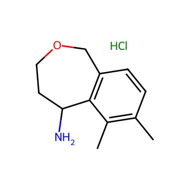 Cc1ccc2c(c1C)C(N)CCOC2.Cl